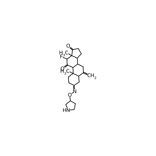 C=C1CC2C(C(=O)C(F)C3(C)C(=O)CCC23)C2(C)CCC(=NOC3CCNC3)CC12